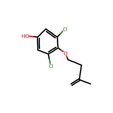 C=C(C)CCOc1c(Cl)cc(O)cc1Cl